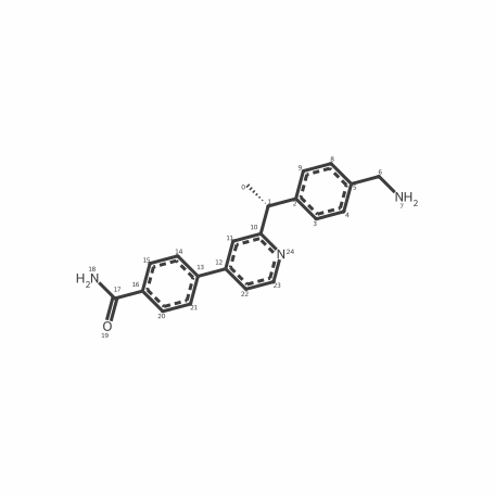 C[C@H](c1ccc(CN)cc1)c1cc(-c2ccc(C(N)=O)cc2)ccn1